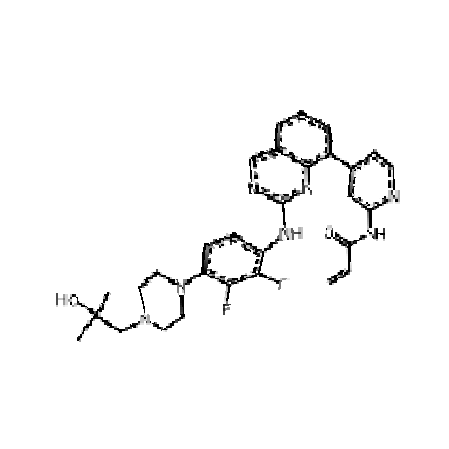 C=CC(=O)Nc1cc(-c2cccc3cnc(Nc4ccc(N5CCN(CC(C)(C)O)CC5)c(F)c4F)nc23)ccn1